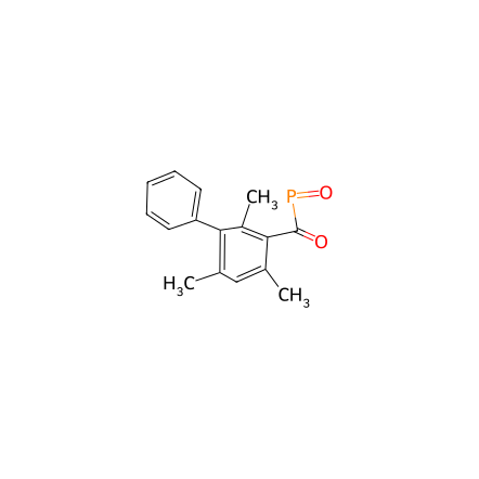 Cc1cc(C)c(-c2ccccc2)c(C)c1C(=O)P=O